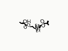 C=C(C)C(=O)OCC[N+](CC)(CC)CCCOC(=O)C(O)=CC